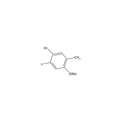 COc1cc(I)c(C(C)=O)cc1C